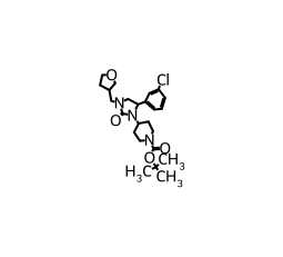 CC(C)(C)OC(=O)N1CCC(N2C(=O)N(CC3CCOC3)CC2c2cccc(Cl)c2)CC1